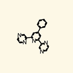 c1ccc(-c2cc(-c3cnccn3)nc(-c3cnccn3)c2)cc1